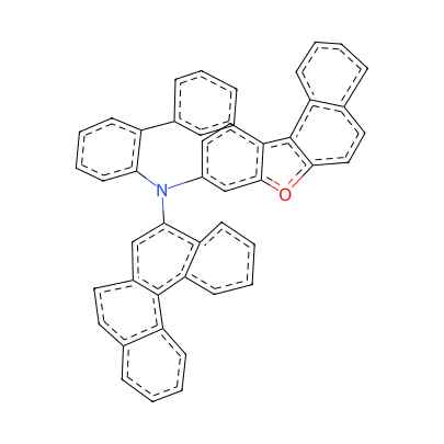 c1ccc(-c2ccccc2N(c2ccc3c(c2)oc2ccc4ccccc4c23)c2cc3ccc4ccccc4c3c3ccccc23)cc1